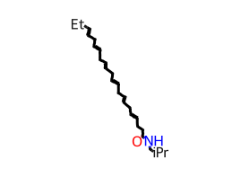 CCC=CCC=CCC=CCC=CCC=CCC=CCCC(=O)NCC(C)C